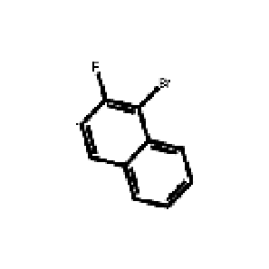 Fc1[c]cc2ccccc2c1Br